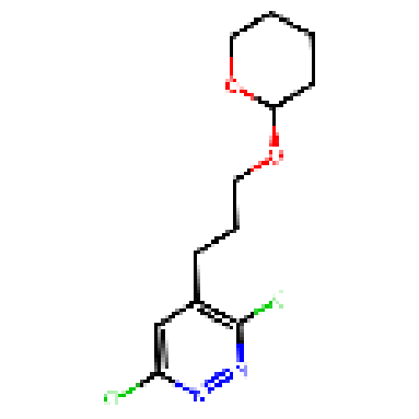 Clc1cc(CCCO[C@@H]2CCCCO2)c(Cl)nn1